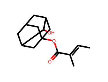 CC=C(C)C(=O)OC12CC3CC(C1)C(O)C(C3)C2